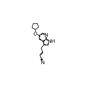 N#C/C=C/Cc1c[nH]c2ncc(OC3CCCC3)cc12